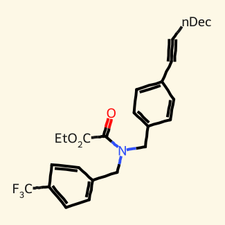 CCCCCCCCCCC#Cc1ccc(CN(Cc2ccc(C(F)(F)F)cc2)C(=O)C(=O)OCC)cc1